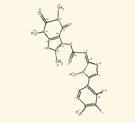 [CH2]n1c(-c2ccc(C(F)(F)F)c(F)c2F)cs/c1=N/C(=O)Cc1c(C)oc2c1c(=O)n(C)c(=O)n2C